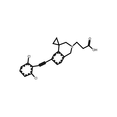 O=C(O)CCN1Cc2ccc(C#Cc3c(Cl)cccc3Cl)cc2C2(CC2)C1